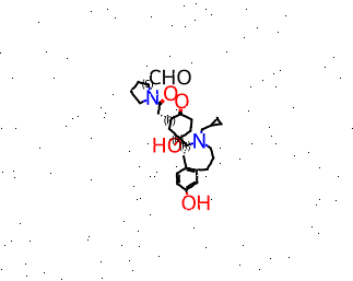 O=C[C@@H]1CCCN1C(=O)C[C@H]1C[C@@](O)([C@H]2Cc3ccc(O)cc3CCCN2CC2CC2)CCC1=O